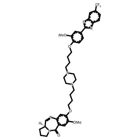 COc1cc(-c2nc3ccc(C(F)(F)F)cc3s2)ccc1OCCCCN1CCN(CCCCOc2cc3c(cc2OC)C(=O)N2CCC[C@H]2C=N3)CC1